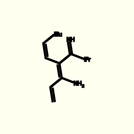 C=C/C(N)=C(\C=C/C(C)CC)C(=N)C(C)C